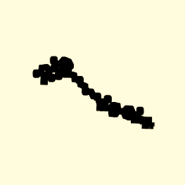 CCCNNC(=O)c1ccc(-c2ccc(NC(=O)COCCOCCOCCNc3cccc4c3C(=O)N(C3CCC(=O)NC3=O)C4=O)cc2)cc1